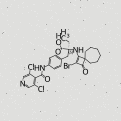 CC[C@@](Cc1ccc(NC(=O)c2c(Cl)cncc2Cl)cc1)(NC1=C(Br)C(=O)C12CCCCCC2)C(=O)O